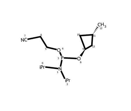 CC(C)N(C(C)C)P(OCCC#N)O[C@H]1C[C@H](C)C1